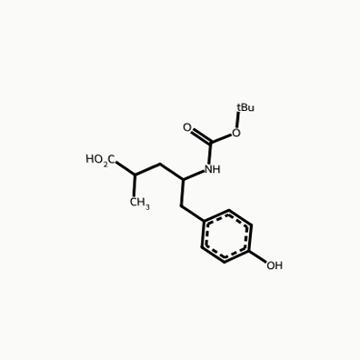 CC(CC(Cc1ccc(O)cc1)NC(=O)OC(C)(C)C)C(=O)O